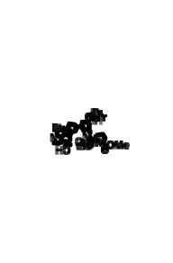 CCn1c(-c2cccnc2C(C)C)c(CC(C)(C)CO)c2cc(-c3cc(C[C@H](NC(=O)OC(C)(C)C)C(=O)N4CCC[C@@H](C(=O)OC)N4)cc(O[Si](C(C)C)(C(C)C)C(C)C)c3)ccc21